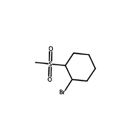 CS(=O)(=O)C1CCCCC1Br